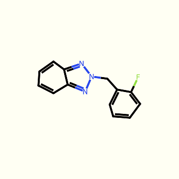 Fc1ccccc1Cn1nc2ccccc2n1